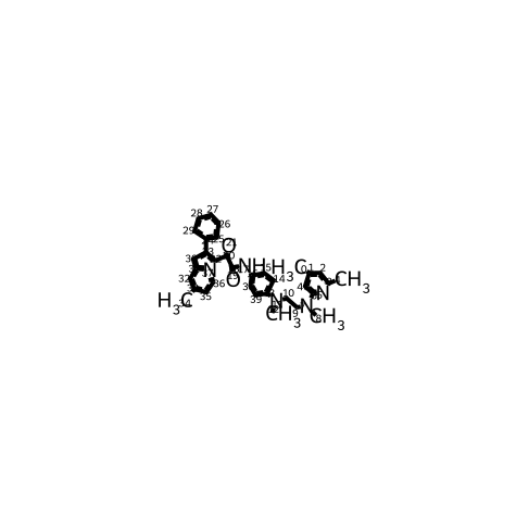 Cc1cc(C)nc(N(C)CCN(C)c2ccc(NC(=O)C(=O)c3c(-c4ccccc4)cc4cc(C)ccn34)cc2)c1